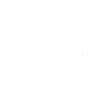 CC1C(Cl)C(=O)C1CC(Cl)(Cl)Cl